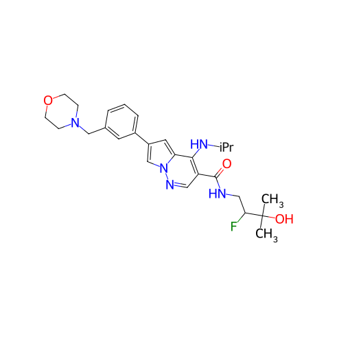 CC(C)Nc1c(C(=O)NCC(F)C(C)(C)O)cnn2cc(-c3cccc(CN4CCOCC4)c3)cc12